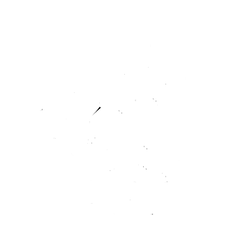 Cc1ccc2nc(NC[C@H]3N(C(=O)c4cccc(C)c4-n4nccn4)CCC3(F)F)oc2c1